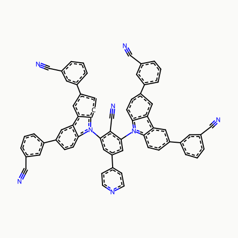 N#Cc1cccc(-c2ccc3c(c2)c2cc(-c4cccc(C#N)c4)ccc2n3-c2cc(-c3ccncc3)cc(-n3c4ccc(-c5cccc(C#N)c5)cc4c4cc(-c5cccc(C#N)c5)ccc43)c2C#N)c1